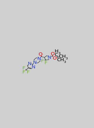 CC(C)(C)OC(=O)N1CC(C(=O)N2CCN(c3ncc(C(F)(F)F)cn3)CC2)C(F)(F)C1